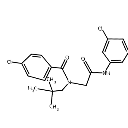 CC(C)(C)CN(CC(=O)Nc1cccc(Cl)c1)C(=O)c1ccc(Cl)cc1